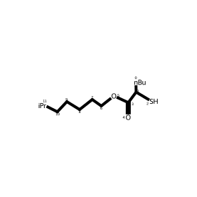 CCCCC(S)C(=O)OCCCCCC(C)C